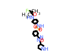 CC(C)(CF)C(=O)Nc1ccc(NS(=O)(=O)c2cccc(-c3noc(C4CCCNC4)n3)c2)cc1